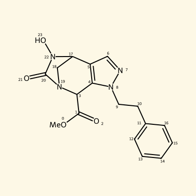 COC(=O)C1c2c(cnn2CCc2ccccc2)C2CN1C(=O)N2O